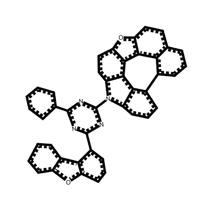 c1ccc(-c2nc(-c3cccc4oc5ccccc5c34)nc(-n3c4cccc5c4c4c6c(ccc43)oc3ccc4cccc-5c4c36)n2)cc1